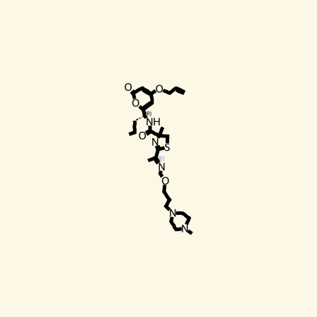 C=CCOc1cc([C@@H](CCC)NC(=O)C2(C)CSC(/C(C)=N/COCCCN3CCN(C)CC3)=N2)oc(=O)c1